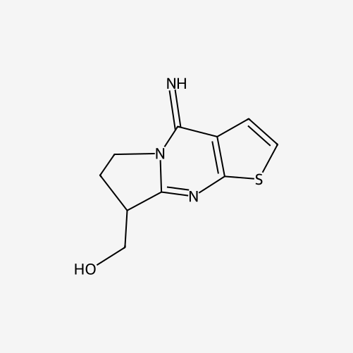 N=c1c2ccsc2nc2n1CCC2CO